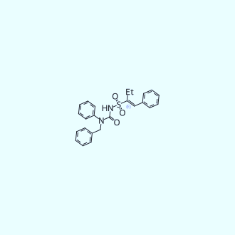 CC/C(=C\c1ccccc1)S(=O)(=O)NC(=O)N(Cc1ccccc1)c1ccccc1